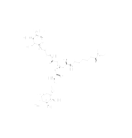 CCNC(=O)CCCCCNC(=O)CN(CC(=O)NCCO[C@@H]1O[C@@H](C)[C@@H](O)[C@@H](O)[C@@H]1O)CC(=O)NCCO[C@@H]1O[C@@H](C)[C@@H](O)[C@@H](O)[C@@H]1O